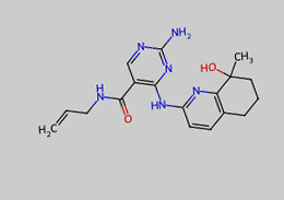 C=CCNC(=O)c1cnc(N)nc1Nc1ccc2c(n1)C(C)(O)CCC2